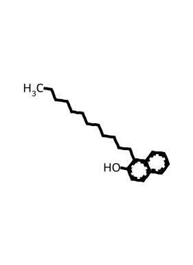 CCCCCCCCCCCCc1c(O)ccc2ccccc12